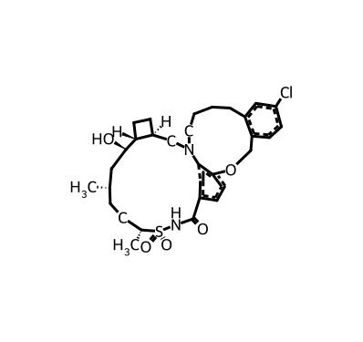 C[C@H]1CC[C@@H](C)S(=O)(=O)NC(=O)c2ccc3c(c2)N(CCCCc2cc(Cl)ccc2CO3)C[C@@H]2CC[C@H]2[C@H](O)C1